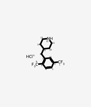 Cl.FC(F)(F)c1ccc(C(F)(F)F)c(CC2CCNCC2)c1